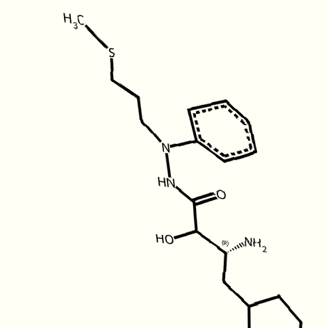 CSCCCN(NC(=O)C(O)[C@H](N)CC1CCCCC1)c1ccccc1